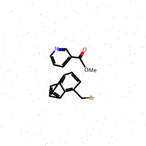 BrCc1ccc2c3c1C(=C2)C=C3.COC(=O)c1cccnc1